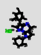 Cc1cc(C)c(-c2c(C)nn3c2nc(C)c2ccn(C4CCCCC4C)c23)c(C)c1.Cl